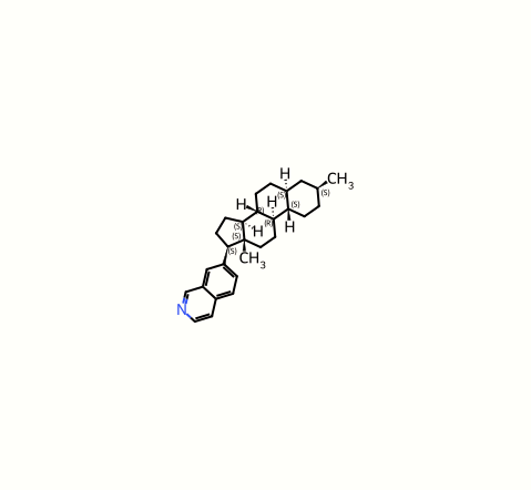 C[C@H]1CC[C@H]2[C@@H](CC[C@@H]3[C@@H]2CC[C@]2(C)[C@@H](c4ccc5ccncc5c4)CC[C@@H]32)C1